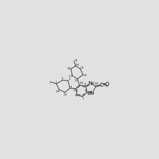 CC1CCC(c2ccc3c(c2C2CCC(C)CC2)=NC(=C=O)N=3)CC1